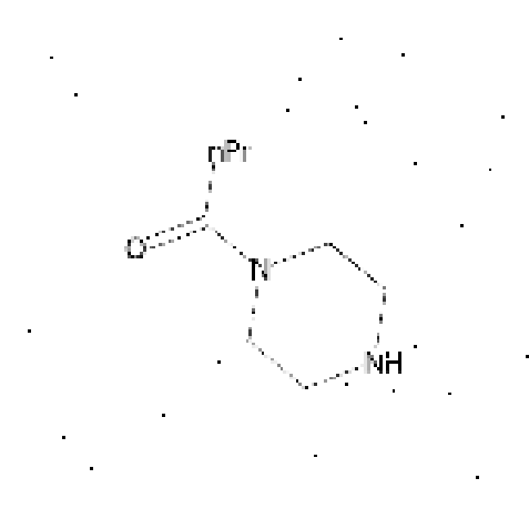 CCCC(=O)N1CCNCC1